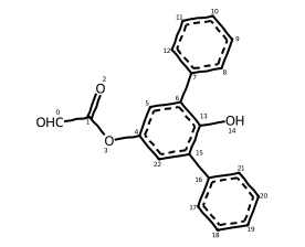 O=CC(=O)Oc1cc(-c2ccccc2)c(O)c(-c2ccccc2)c1